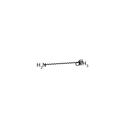 C[Si](Cl)(Cl)CCCCCCCCCCCCCCCCCCCCCCCCCCCCCCCN